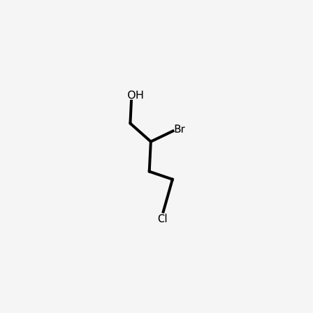 OCC(Br)CCCl